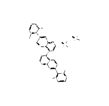 Cc1cccc(C)c1-c1ccc2c(-c3[c]ccc4cc(-c5c(C)cccc5C)ccc34)[c]ccc2c1.O=P(O)(O)O.O=P(O)(O)O